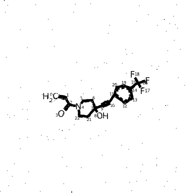 C=CC(=O)N1CCC(O)(C#Cc2ccc(C(F)(F)F)cc2)CC1